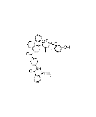 COc1ccccc1C(=O)NC1CCN(C(=O)[C@H]2CC[C@@](C(=O)N[C@@H](Cc3ccc(O)cc3)C(=O)O)(c3ccccc3)c3ccccc32)CC1